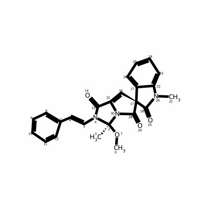 CO[C@@]1(C)N(/C=C/c2ccccc2)C(=O)C2=C[C@@]3(C(=O)N(C)c4ccccc43)C(=O)N21